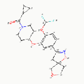 O=C(C1CC1)N1CCC(Oc2cc(C3=NOC4(CCOC4)C3)ccc2OC(F)F)CC1